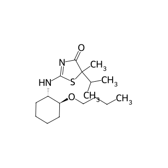 CCCCO[C@H]1CCCC[C@@H]1NC1=NC(=O)C(C)(C(C)C)S1